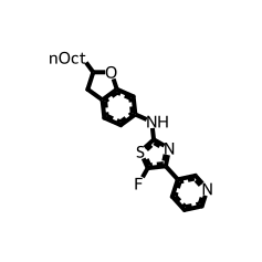 CCCCCCCCC1Cc2ccc(Nc3nc(-c4cccnc4)c(F)s3)cc2O1